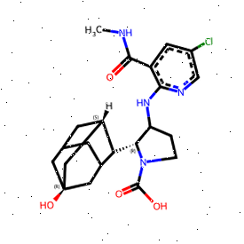 CNC(=O)c1cc(Cl)cnc1NC1CCN(C(=O)O)[C@@H]1C1C2CC3C[C@H]1C[C@@](O)(C3)C2